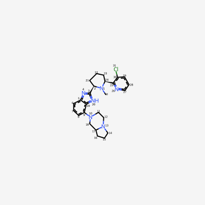 CN1[C@@H](c2nc3cccc(N4CCN5CCCC5C4)c3[nH]2)CCC[C@H]1c1ncccc1Cl